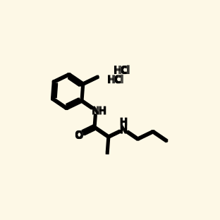 CCCNC(C)C(=O)Nc1ccccc1C.Cl.Cl